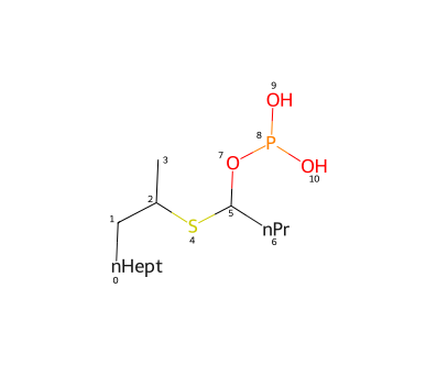 CCCCCCCCC(C)SC(CCC)OP(O)O